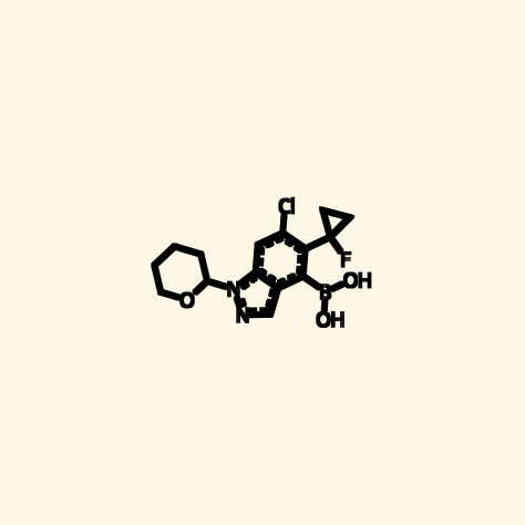 OB(O)c1c(C2(F)CC2)c(Cl)cc2c1cnn2C1CCCCO1